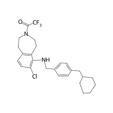 O=C(N1CCc2ccc(Cl)c(NCc3ccc(CC4CCCCC4)cc3)c2CC1)C(F)(F)F